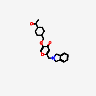 CC(=O)C1CCC(COc2coc(CN3Cc4ccccc4C3)cc2=O)CC1